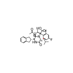 CC(=O)OC(C)[C@@](C(=O)O)(c1ccc(F)cc1F)N1C(=O)[C@@H](C2Cc3ccccc3C2)NC(=O)[C@H]1CC(C)C